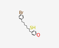 COc1ccc(CC(S)CCCCCc2ccc(Br)cc2)cc1